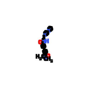 CN(C)C(=O)c1ccc(-c2ccc(C(=O)NCCCN3CCC(N4CCCCC4)CC3)cc2)cc1